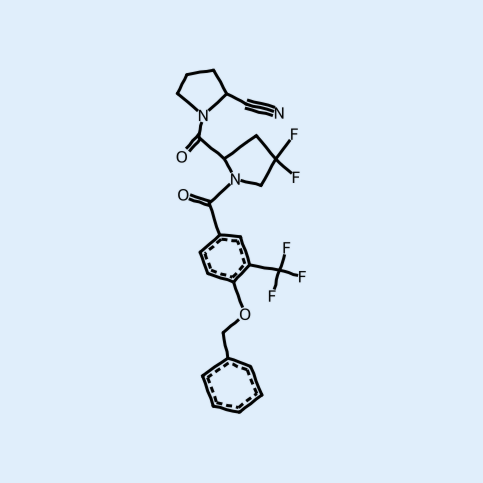 N#CC1CCCN1C(=O)C1CC(F)(F)CN1C(=O)c1ccc(OCc2ccccc2)c(C(F)(F)F)c1